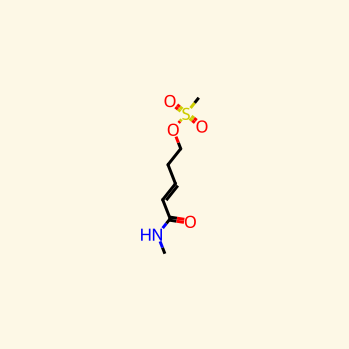 CNC(=O)/C=C/CCOS(C)(=O)=O